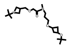 CN(CCCOC1CC(OC(C)(C)C)C1)C(=O)COCC1CN(C(C)(C)C)C1